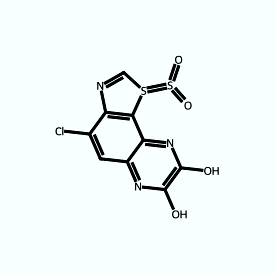 O=S(=O)=S1C=Nc2c(Cl)cc3nc(O)c(O)nc3c21